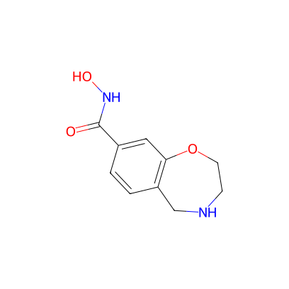 O=C(NO)c1ccc2c(c1)OCCNC2